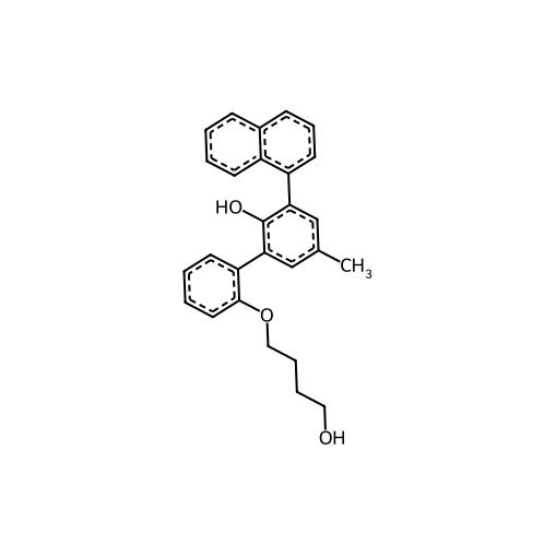 Cc1cc(-c2ccccc2OCCCCO)c(O)c(-c2cccc3ccccc23)c1